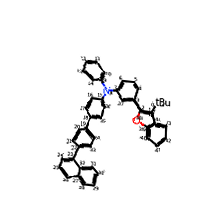 CC(C)(C)c1c(-c2cccc(N(c3ccccc3)c3ccc(-c4ccc(-c5cccc6ccccc56)cc4)cc3)c2)oc2ccccc12